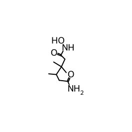 CC(CC(N)=O)C(C)(C)CC(=O)NO